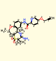 C#CCOc1ccc(C(=O)Nc2ccc3c(c2)[C@@]2(C)N=C(N)C(C)(C)S(=O)(=O)[C@@H]2C[C@H](C)O3)nc1